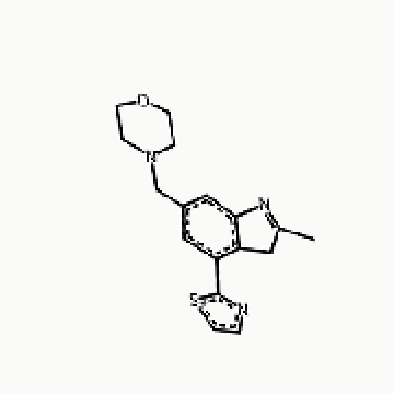 CC1=Nc2cc(CN3CCOCC3)cc(-c3nccs3)c2C1